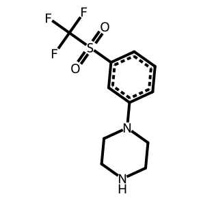 O=S(=O)(c1cccc(N2CCNCC2)c1)C(F)(F)F